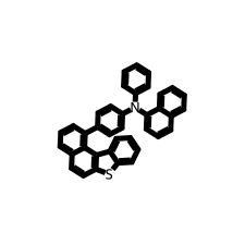 c1ccc(N(c2ccc(-c3cccc4ccc5sc6ccccc6c5c34)cc2)c2cccc3ccccc23)cc1